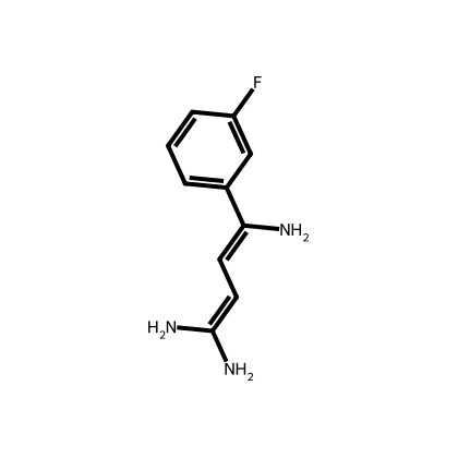 NC(N)=C/C=C(\N)c1cccc(F)c1